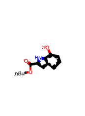 CCCCOC(=O)c1cc2cccc(O)c2[nH]1